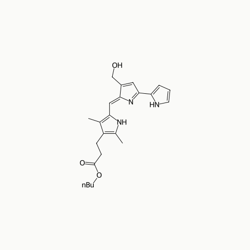 CCCCOC(=O)CCc1c(C)[nH]c(/C=C2\N=C(c3ccc[nH]3)C=C2CO)c1C